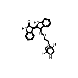 O=C1Nc2ccccc2/C1=C1/Nc2ccccc2/C1=N\OCCN1C[C@@H]2C[C@H]1CN2